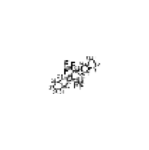 FC(F)(F)c1c2c3cc4ccccc4cc3c2c(C(F)(F)F)c2c3cc4ccccc4cc3c12